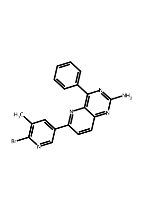 Cc1cc(-c2ccc3nc(N)nc(-c4ccccc4)c3n2)cnc1Br